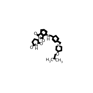 CC(C)COC1CCN(CC2=CCC(CNc3cccc4c3C(=O)N(C3CCC(=O)NC3=O)C4=O)C=C2)CC1